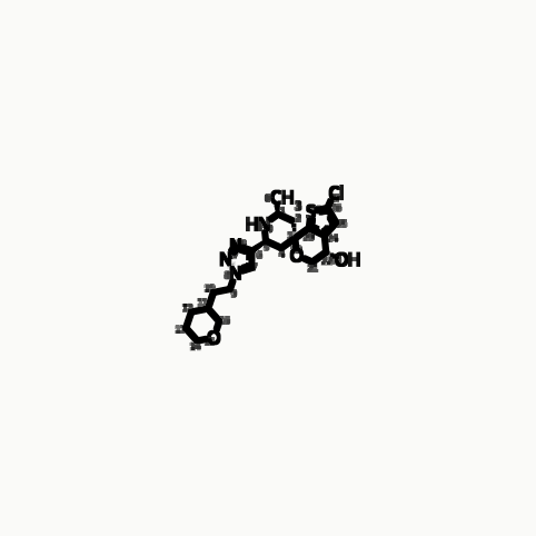 C[C@H]1C[C@@]2(C[C@@H](c3cn(CCC4CCCOC4)nn3)N1)OC[C@@H](O)c1cc(Cl)sc12